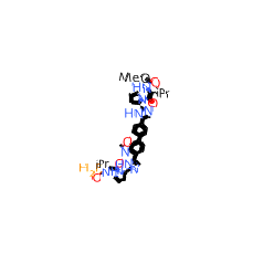 COC(=O)N[C@H](C(=O)N1CCC[C@H]1c1ncc(-c2ccc(-c3ccc(-c4cnc([C@@H]5CCCN5C(=O)[C@@H](NC(=O)P)C(C)C)[nH]4)c4ncoc34)cc2)[nH]1)C(C)C